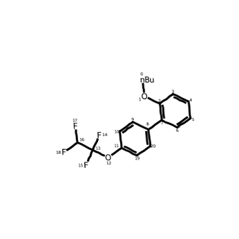 CCCCOc1ccc[c]c1-c1ccc(OC(F)(F)C(F)F)cc1